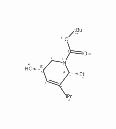 CC[C@@H]1C(C(C)C)=C[C@H](O)CN1C(=O)OC(C)(C)C